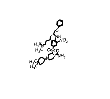 CN(C)CCCC[C@H](CSc1ccccc1)Nc1ccc(S(=O)(=O)C2CN(C3CCC(C)(C)CC3)CCN2C(N)=O)cc1[N+](=O)[O-]